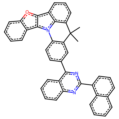 CC1(C)c2cc(-c3nc(-c4cccc5ccccc45)nc4ccccc34)ccc2-n2c3c1cccc3c1oc3ccccc3c12